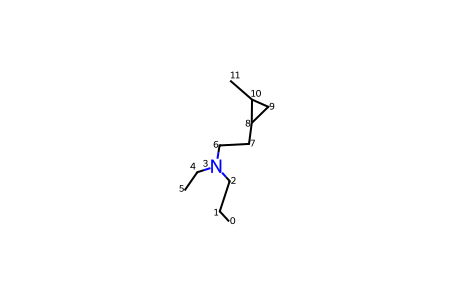 CCCN(CC)CCC1CC1C